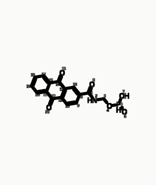 O=C(NCO[PH](=O)O)c1ccc2c(c1)C(=O)c1ccccc1C2=O